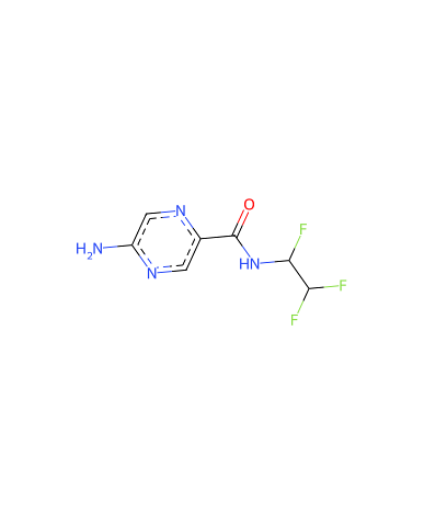 Nc1cnc(C(=O)NC(F)C(F)F)cn1